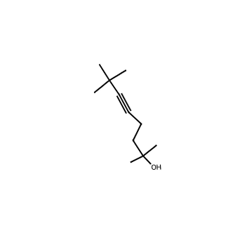 CC(C)(C)C#CCCC(C)(C)O